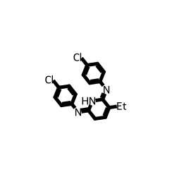 CCC1=CCC(=Nc2ccc(Cl)cc2)NC1=Nc1ccc(Cl)cc1